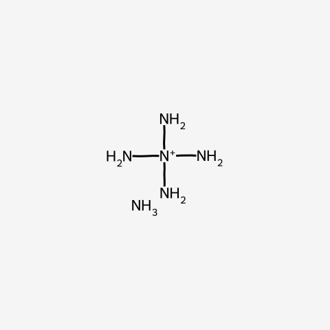 N.N[N+](N)(N)N